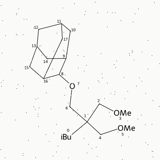 CCC(C)C(COC)(COC)COC1C2CC3CC(C2)CC1C3